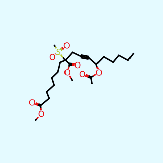 CCCCCC(C#CCC(CCCCCCC(=O)OC)(C(=O)OC)S(C)(=O)=O)OC(C)=O